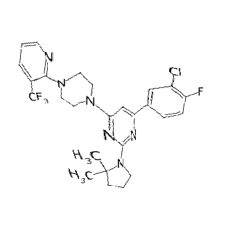 CC1(C)CCCN1c1nc(-c2ccc(F)c(Cl)c2)cc(N2CCN(c3ncccc3C(F)(F)F)CC2)n1